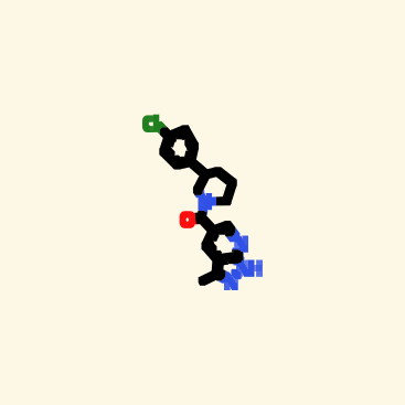 Cc1n[nH]c2ncc(C(=O)N3CCCC(c4ccc(Cl)cc4)C3)cc12